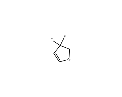 FC1(F)C=C[N]C1